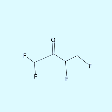 O=C(C(F)F)C(F)CF